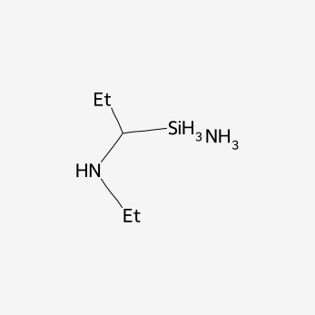 CCNC([SiH3])CC.N